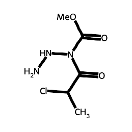 COC(=O)N(NN)C(=O)C(C)Cl